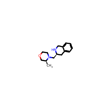 C[C@H]1COCCN1C[C@@H]1Cc2ccccc2CN1